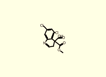 COC(=O)C1(C(=O)O)CC=Nc2cc(Cl)cc(Cl)c21